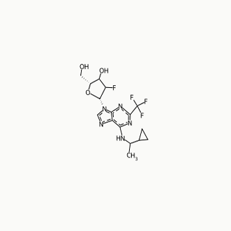 CC(Nc1nc(C(F)(F)F)nc2c1ncn2[C@@H]1O[C@H](CO)C(O)C1F)C1CC1